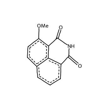 COc1ccc2cccc3c2c1C(=O)NC3=O